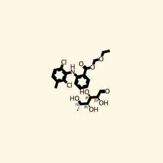 CCOCOC(=O)c1ccccc1Nc1c(Cl)ccc(C)c1Cl.C[C@H](O)[C@@H](O)[C@@H](O)[C@H](O)C=O